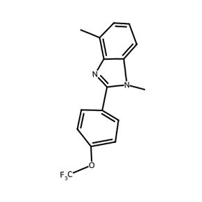 Cc1cccc2c1nc(-c1ccc(OC(F)(F)F)cc1)n2C